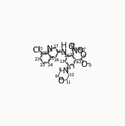 COC(=O)c1cc(N2CCOCC2)cc(Nc2cnc3c(Cl)cccc3c2)c1[N+](=O)[O-]